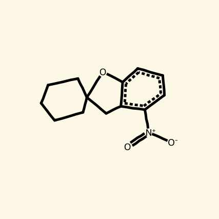 O=[N+]([O-])c1cccc2c1CC1(CCCCC1)O2